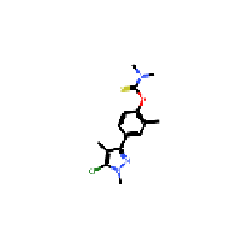 Cc1cc(-c2nn(C)c(Cl)c2C)ccc1OC(=S)N(C)C